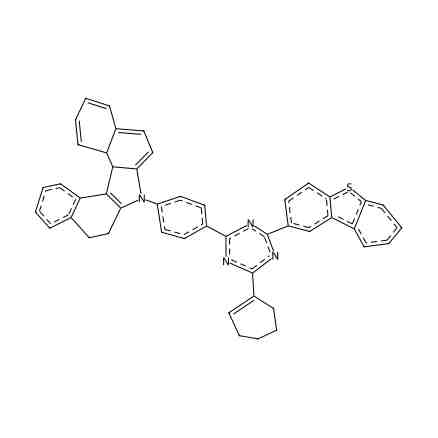 C1=CC2=CC=C3C(C4=C(CCc5ccccc54)N3c3ccc(-c4nc(C5=CCCCC5)nc(-c5ccc6sc7ccccc7c6c5)n4)cc3)C2C=C1